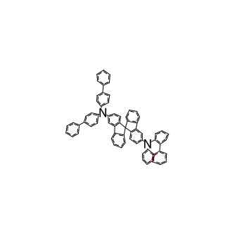 c1ccc(-c2ccc(N(c3ccc(-c4ccccc4)cc3)c3ccc4c(c3)-c3ccccc3C43c4ccccc4-c4cc(N(c5ccccc5)c5ccccc5-c5ccccc5)ccc43)cc2)cc1